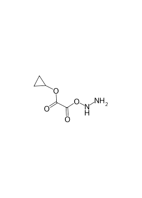 NNOC(=O)C(=O)OC1CC1